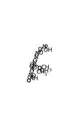 Cc1cc(C[C@@H](OC(=O)N2CCC(N3CCc4ccccc4NC3=O)CC2)C(=O)N2CCC(N3CCN(CC(=O)OCCN4CCCC4O)CC3)CC2)cc(C)c1O